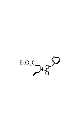 C=CCN(CCC(=O)OCC)C(=O)OCc1ccccc1